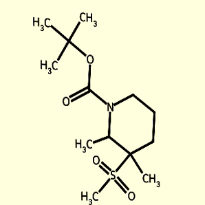 CC1N(C(=O)OC(C)(C)C)CCCC1(C)S(C)(=O)=O